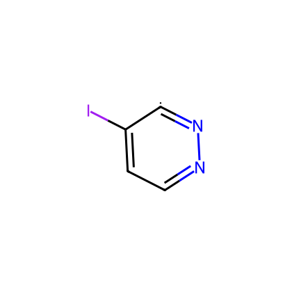 Ic1[c]nncc1